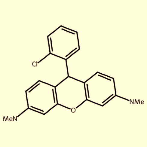 CNc1ccc2c(c1)Oc1cc(NC)ccc1C2c1ccccc1Cl